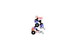 CC[C@@H]1CN(Cc2cccc(-n3ncc(C(=O)O)c3[C@@H]3C[C@H]3c3cnn(C)c3)c2)S(=O)(=O)c2ccccc2O1